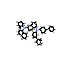 c1ccc(-c2ccc(N(c3cccc(-c4ccccc4)c3)c3cccc4cc(-n5c6ccccc6c6ccc7ccccc7c65)ccc34)cc2)cc1